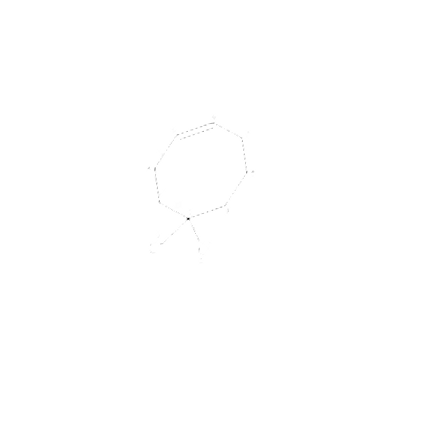 ClC1(Cl)CC/C=C\CCC1